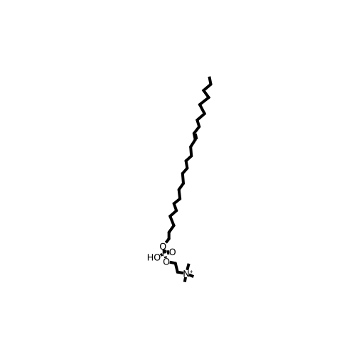 CCCCCCCCC=CCCCCCCCCCCCCCCOP(=O)(O)OCC[N+](C)(C)C